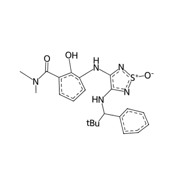 CN(C)C(=O)c1cccc(Nc2n[s+]([O-])nc2NC(c2ccccc2)C(C)(C)C)c1O